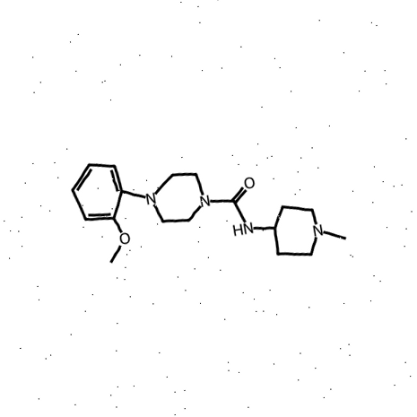 COc1ccccc1N1CCN(C(=O)NC2CCN(C)CC2)CC1